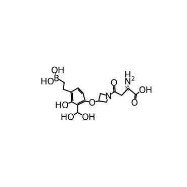 N[C@@H](CC(=O)N1CC(Oc2ccc(CCB(O)O)c(O)c2C(O)O)C1)C(=O)O